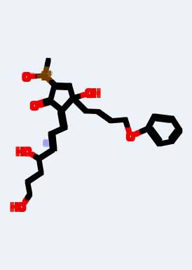 C[S+]([O-])C1=CC(O)(CCCCOc2ccccc2)C(=C/C=C/C(O)CCCO)C1=O